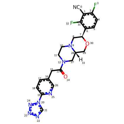 N#Cc1c(F)ccc([C@@H]2CN3CCN(C(=O)Cc4ccc(-n5cnnn5)nc4)C[C@H]3CO2)c1F